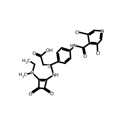 CCN(C)c1c(N[C@@H](CC(=O)O)c2ccc(NC(=O)c3c(Cl)cncc3Cl)cc2)c(=O)c1=O